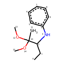 CCC(Nc1ccccc1)C([SiH3])(OC)OC